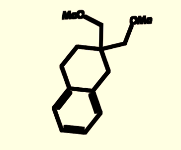 COCC1(COC)CCc2ccccc2C1